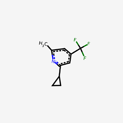 Cc1cc(C(F)(F)F)cc(C2CC2)n1